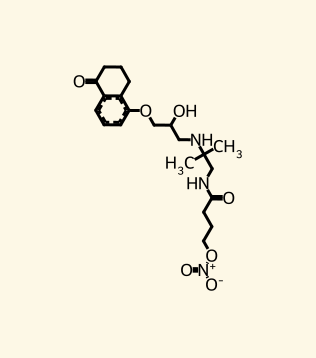 CC(C)(CNC(=O)CCCO[N+](=O)[O-])NCC(O)COc1cccc2c1CCCC2=O